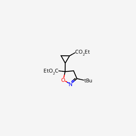 CCOC(=O)C1CC1C1(C(=O)OCC)CC(C(C)(C)C)=NO1